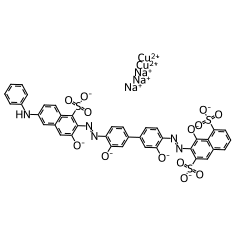 O=S(=O)([O-])c1cc2cccc(S(=O)(=O)[O-])c2c([O-])c1N=Nc1ccc(-c2ccc(N=Nc3c([O-])cc4cc(Nc5ccccc5)ccc4c3S(=O)(=O)[O-])c([O-])c2)cc1[O-].[Cu+2].[Cu+2].[Na+].[Na+].[Na+]